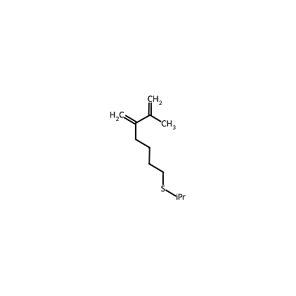 C=C(C)C(=C)CCCCSC(C)C